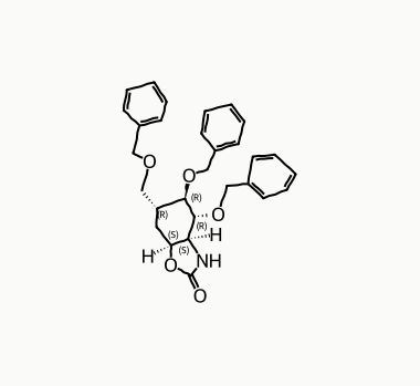 O=C1N[C@@H]2[C@@H](OCc3ccccc3)[C@H](OCc3ccccc3)[C@@H](COCc3ccccc3)C[C@@H]2O1